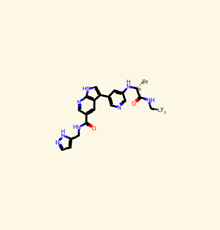 CC(C)[C@@H](Nc1cncc(-c2c[nH]c3ncc(C(=O)NCc4ccn[nH]4)cc23)c1)C(=O)NCC(F)(F)F